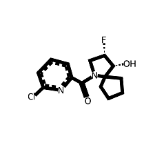 O=C(c1cccc(Cl)n1)N1C[C@H](F)[C@H](O)C12CCCC2